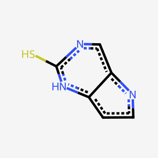 Sc1ncc2nccc-2[nH]1